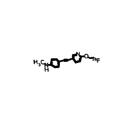 CNc1ccc(C#Cc2ccc(OCC[18F])nc2)cc1